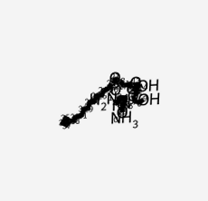 N.Nc1ccn(C[C@@H](CO)OCP(=O)(O)OCCCS(=O)(=O)CCCCCCCCCCCCC2CCC2)c(=O)n1